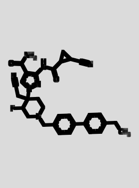 CCc1ccc(-c2ccc(CN3CCC(CC#N)(n4cc(C(N)=O)c(NC(=O)C5CC5C#N)n4)C(F)C3)cc2)cc1